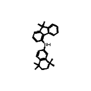 CC1(C)CCC(C)(C)c2cc(Nc3cccc4c3-c3ccccc3C4(C)C)ccc21